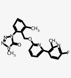 Cc1cccc(-n2nnn(C)c2=O)c1COc1cccc(-c2ccc(F)nc2C)n1